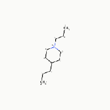 [CH2]CCC1CCN(CCC)CC1